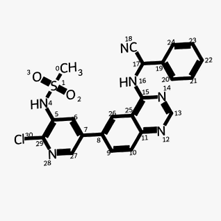 CS(=O)(=O)Nc1cc(-c2ccc3ncnc(NC(C#N)c4ccccc4)c3c2)cnc1Cl